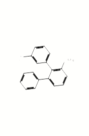 COc1[c]ccc(-c2ccccc2)c1-c1cccc([N+](=O)[O-])c1